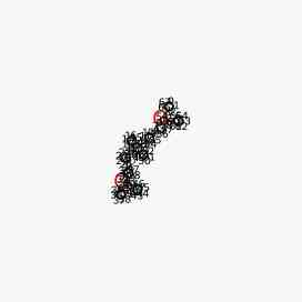 c1ccc(-c2oc3cc(-c4ccc(-c5c6ccccc6c(-c6cccc(-c7ccc8c(c7)OC(c7ccccc7)C8c7ccccc7)c6)c6ccccc56)cc4)ccc3c2-c2ccccc2)cc1